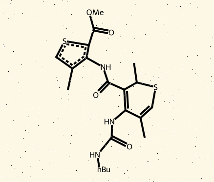 CCCCNC(=O)NC1=C(C(=O)Nc2c(C)csc2C(=O)OC)C(C)SC=C1C